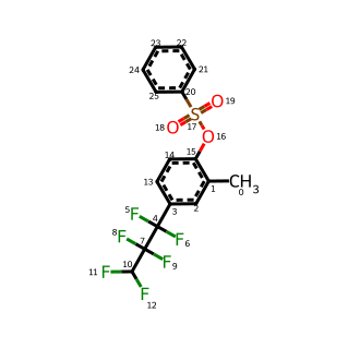 Cc1cc(C(F)(F)C(F)(F)C(F)F)ccc1OS(=O)(=O)c1ccccc1